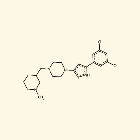 CN1CCCC(CN2CCN(c3cc(-c4cc(Cl)cc(Cl)c4)[nH]n3)CC2)C1